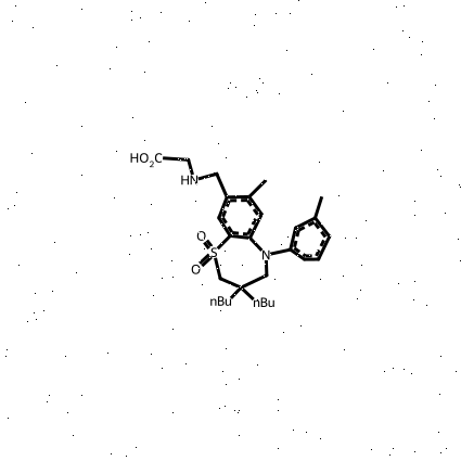 CCCCC1(CCCC)CN(c2cccc(C)c2)c2cc(C)c(CNCC(=O)O)cc2S(=O)(=O)C1